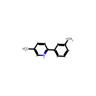 Cc1ccc(-c2cccc(C)c2)nc1